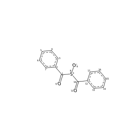 O=C(c1ccccc1)[S+]([O-])C(=O)c1ccccc1